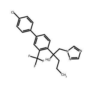 CCCC(O)(Cn1cncn1)c1ccc(-c2ccc(Cl)cc2)cc1C(F)(F)F